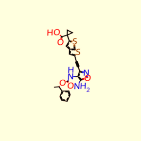 CC(OC(=O)Nc1c(C#Cc2cc3cc(C4(C(=O)O)CC4)sc3s2)noc1N)c1ccccc1